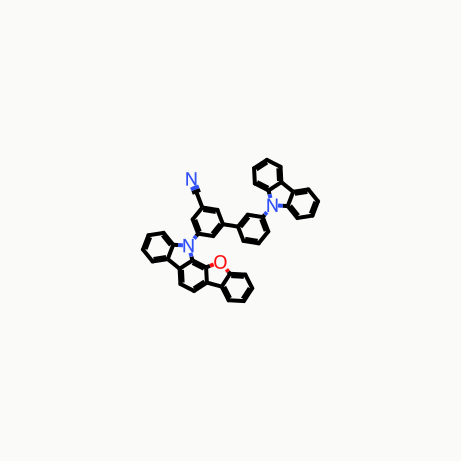 N#Cc1cc(-c2cccc(-n3c4ccccc4c4ccccc43)c2)cc(-n2c3ccccc3c3ccc4c5ccccc5oc4c32)c1